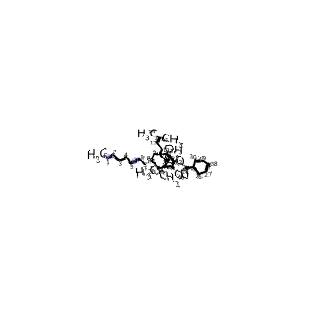 C/C=C/CC/C=C/C[C@@H]1CC2(CC=C(C)C)C(=O)C(C(=O)C(OC(=O)c3ccccc3)=C2O)C1(C)C